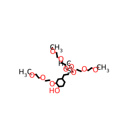 COCCOCCOC1CC(CC[Si](OC)(OCCOCCOC)OCCOCCOC)CCC1O